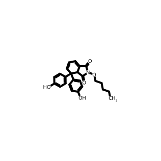 CCCCCON1C(=O)C2=CC=CC(c3ccc(O)cc3)(c3ccc(O)cc3)C2C1=O